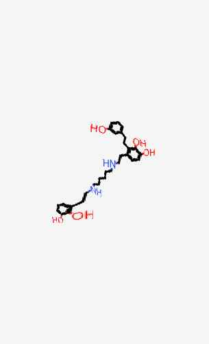 Oc1cccc(CCc2c(CCNCCCCCCNCCc3cccc(O)c3O)ccc(O)c2O)c1